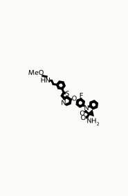 COCCNCCc1cccc(-c2cc3nccc(Oc4ccc(N(C(=O)C5(C(N)=O)CC5)c5ccccc5)cc4F)c3s2)c1